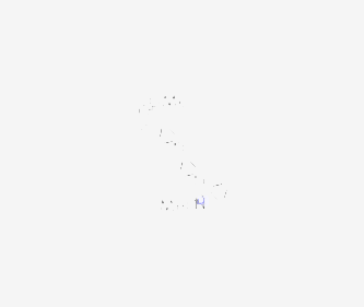 CO/N=C(\COc1ccc(COc2ccc(C(CC(=O)OC)C3CC3)cc2)cc1)c1cccc(C)c1